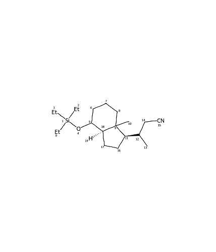 CC[Si](CC)(CC)OC1CCCC2(C)[C@@H](C(C)CC#N)CC[C@@H]12